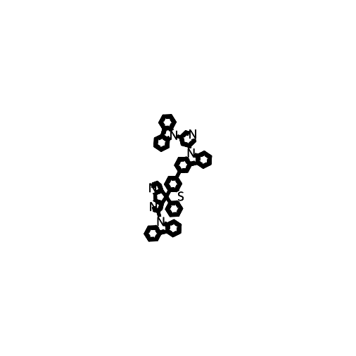 c1ccc2c(c1)Sc1cc(-c3ccc4c(c3)c3ccccc3n4-c3cncc(-n4c5ccccc5c5ccccc54)c3)ccc1C21c2cccnc2-c2ncc(-n3c4ccccc4c4ccccc43)cc21